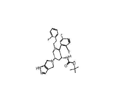 CC(C)(C)OC(=O)N[C@H]1C[C@@H](N2Cc3cn[nH]c3C2)CN(CCc2ccccc2F)C1c1cc(F)ccc1F